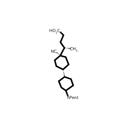 CCCCCC1CCC([C@H]2CC[C@](C#N)([C@@H](C)CCC(=O)O)CC2)CC1